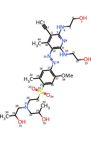 C#Cc1c(NCCO)nc(NCCO)c(/N=N/c2cc(C)c(S(=O)(=O)CCN(CC(C)O)CC(C)O)cc2OC)c1C